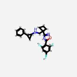 Fc1cc(F)c(-c2nc(C3(CNC4CC4c4ccccc4)CCC3)no2)c(F)c1